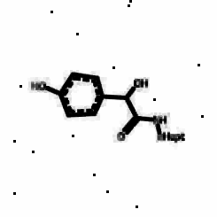 CCCCCCCNC(=O)C(O)c1ccc(O)cc1